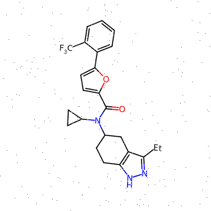 CCc1n[nH]c2c1CC(N(C(=O)c1ccc(-c3ccccc3C(F)(F)F)o1)C1CC1)CC2